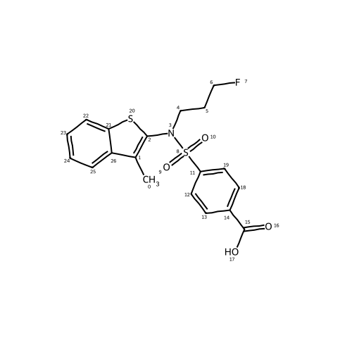 Cc1c(N(CCCF)S(=O)(=O)c2ccc(C(=O)O)cc2)sc2ccccc12